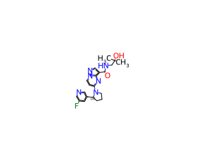 CC(C)(O)CNC(=O)c1cnn2ccc(N3CCC[C@H]3c3cncc(F)c3)nc12